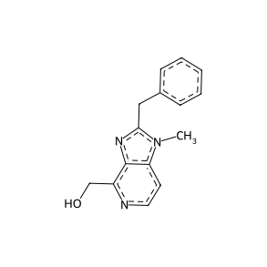 Cn1c(Cc2ccccc2)nc2c(CO)nccc21